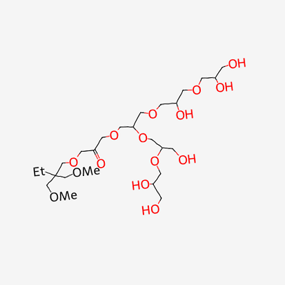 CCC(COC)(COC)COCC(=O)COCC(COCC(O)COCC(O)CO)OCC(CO)OCC(O)CO